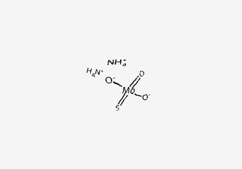 [NH4+].[NH4+].[O]=[Mo]([O-])([O-])=[S]